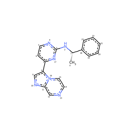 C[C@H](Nc1nccc(-c2cnc3cnccn23)n1)c1ccccc1